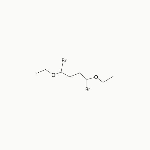 CCOC(Br)CCC(Br)OCC